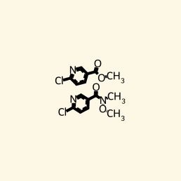 COC(=O)c1ccc(Cl)nc1.CON(C)C(=O)c1ccc(Cl)nc1